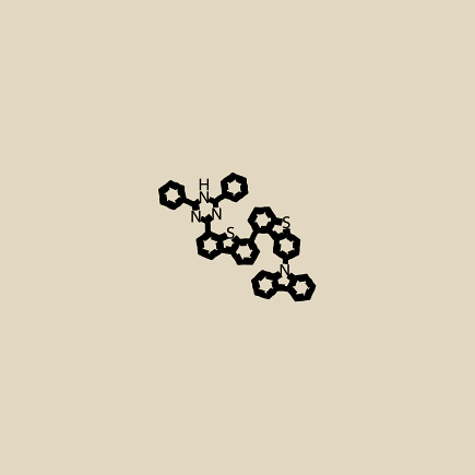 c1ccc(C2=NC(c3cccc4c3sc3c(-c5cccc6sc7ccc(-n8c9ccccc9c9ccccc98)cc7c56)cccc34)=NC(c3ccccc3)N2)cc1